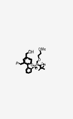 COCCOCN(c1onc(C)c1C)S(=O)(=O)c1ccccc1-c1ccc(CO)cc1CC(C)C